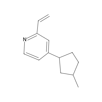 C=Cc1cc(C2CCC(C)C2)ccn1